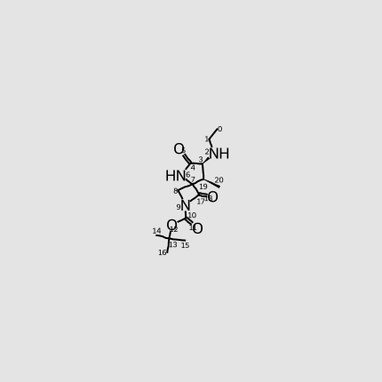 CCN[C@@H]1C(=O)NC2(CN(C(=O)OC(C)(C)C)C2=O)[C@@H]1C